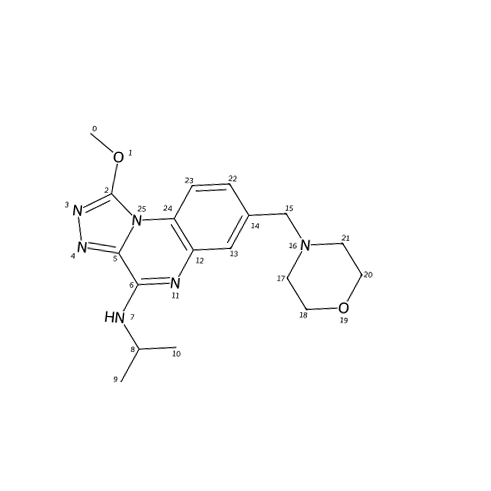 COc1nnc2c(NC(C)C)nc3cc(CN4CCOCC4)ccc3n12